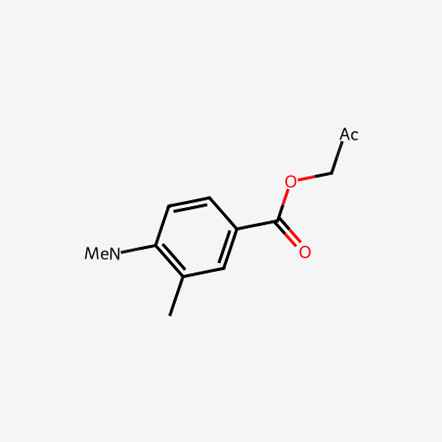 CNc1ccc(C(=O)OCC(C)=O)cc1C